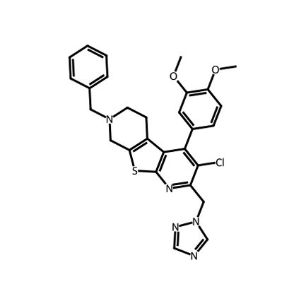 COc1ccc(-c2c(Cl)c(Cn3cncn3)nc3sc4c(c23)CCN(Cc2ccccc2)C4)cc1OC